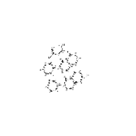 CC(=O)C=C(C)O.[Ir].[c-]1ccccc1-c1ccc2ccccc2n1.[c-]1ccccc1-c1ccc2ccccc2n1